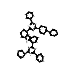 c1ccc(-c2ccc(-c3nc(-c4ccccc4)nc(-c4cccc5oc6c(-c7nc(-c8ccccc8)nc(-c8ccccc8)n7)cccc6c45)n3)cc2)cc1